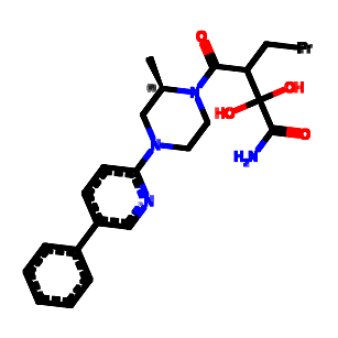 CC(C)CC(C(=O)N1CCN(c2ccc(-c3ccccc3)cn2)C[C@H]1C)C(O)(O)C(N)=O